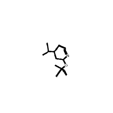 CC(C)C1CC=NC(OC(C)(C)C)C1